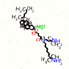 CC(C)CCCC(C)[C@H]1CC[C@H]2[C@@H]3CC=C4C[C@@H](OC(=O)CCCC(=O)N(CCCCCCCC(C)(C)N)CCC(C)(C)N)CC[C@]4(C)[C@H]3CC[C@]12C.Cl.Cl